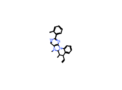 C=CC1c2ccccc2N2c3nc(-c4ccccc4C)ncc3N(C)C2C1C